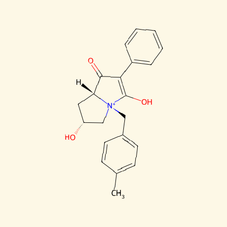 Cc1ccc(C[N@@+]23C[C@H](O)C[C@@H]2C(=O)C(c2ccccc2)=C3O)cc1